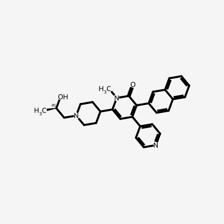 C[C@@H](O)CN1CCC(c2cc(-c3ccncc3)c(-c3ccc4ccccc4c3)c(=O)n2C)CC1